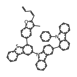 C=C/C=C\c1oc2ccc(-c3cc(-n4c5ccccc5c5cc(-c6cccc7c8ccccc8n(-c8ccccc8)c67)ccc54)cc4c3sc3ccccc34)cc2c1C